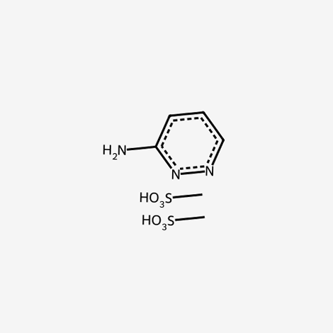 CS(=O)(=O)O.CS(=O)(=O)O.Nc1cccnn1